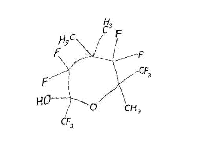 CC1(C)C(F)(F)C(C)(C(F)(F)F)OC(O)(C(F)(F)F)C1(F)F